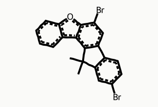 CC1(C)c2cc(Br)ccc2-c2cc(Br)c3oc4ccccc4c3c21